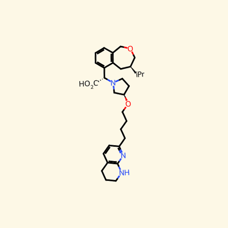 CC(C)[C@@H]1COCc2cccc([C@@H](C(=O)O)N3CC[C@@H](OCCCCc4ccc5c(n4)NCCC5)C3)c2C1